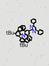 CC(C)(C)c1cc(-c2ccccc2)c2c(c1)c1cc(C(C)(C)C)cc(-c3ccccc3)c1n2-c1c(-c2ccccc2)cc(-c2nc(-c3ccccc3)cc(-c3ccccc3)n2)cc1-c1ccccc1